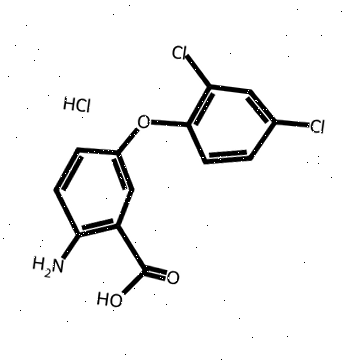 Cl.Nc1ccc(Oc2ccc(Cl)cc2Cl)cc1C(=O)O